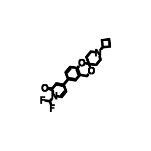 O=c1cc(-c2ccc3c(c2)COC2(CCN(C4CCC4)CC2)O3)ccn1C(F)F